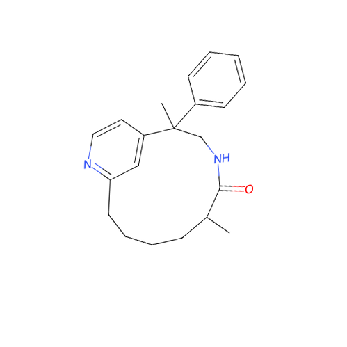 CC1CCCCc2cc(ccn2)C(C)(c2ccccc2)CNC1=O